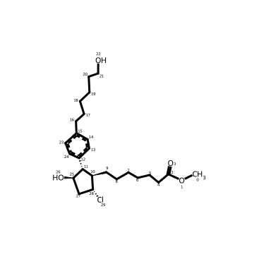 COC(=O)CCCCCC[C@@H]1[C@@H](c2ccc(CCCCCCO)cc2)[C@H](O)C[C@H]1Cl